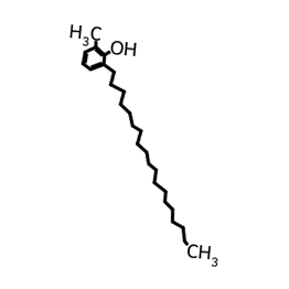 CCCCCCCCCCCCCCCCCCCc1cccc(C)c1O